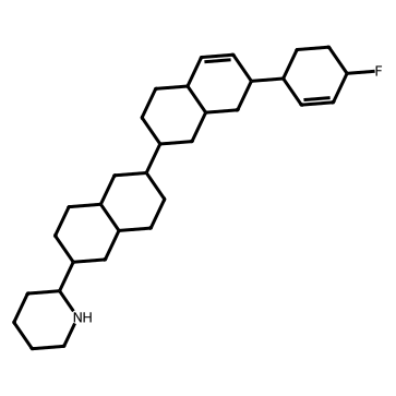 FC1C=CC(C2C=CC3CCC(C4CCC5CC(C6CCCCN6)CCC5C4)CC3C2)CC1